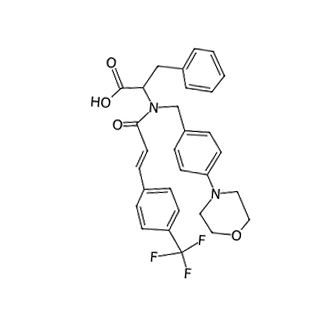 O=C(O)C(Cc1ccccc1)N(Cc1ccc(N2CCOCC2)cc1)C(=O)C=Cc1ccc(C(F)(F)F)cc1